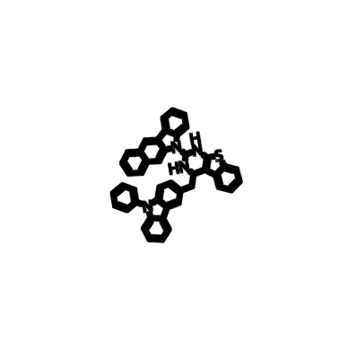 c1ccc(-n2c3ccccc3c3cc(CC4NC(n5c6ccccc6c6cc7ccccc7cc65)Nc5sc6ccccc6c54)ccc32)cc1